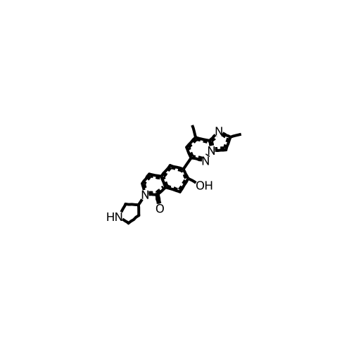 Cc1cn2nc(-c3cc4ccn(C5CCNC5)c(=O)c4cc3O)cc(C)c2n1